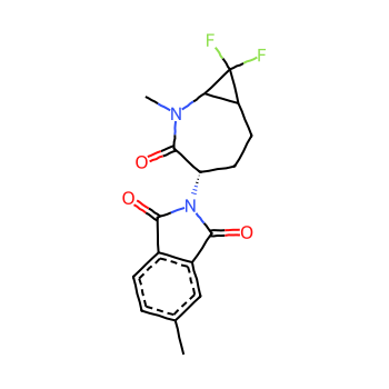 Cc1ccc2c(c1)C(=O)N([C@H]1CCC3C(N(C)C1=O)C3(F)F)C2=O